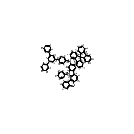 c1ccc(-c2cc(-c3ccccc3)cc(-c3ccc(N(c4ccc5c6ccc7oc8ccccc8c7c6n(-c6ccccc6)c5c4)c4cccc5c4-c4ccccc4C54c5ccccc5-c5ccccc54)cc3)c2)cc1